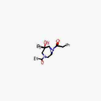 CCC(=O)N1CCN(C(=O)CC(C)C)CC(O)(C(C)C)C1